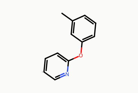 Cc1cccc(Oc2cc[c]cn2)c1